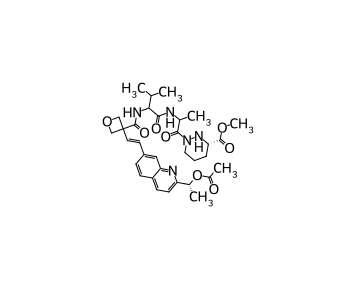 COC(=O)[C@@H]1CCCN(C(=O)C(C)NC(=O)C(NC(=O)C2(/C=C/c3ccc4ccc([C@@H](C)OC(C)=O)nc4c3)COC2)C(C)C)N1